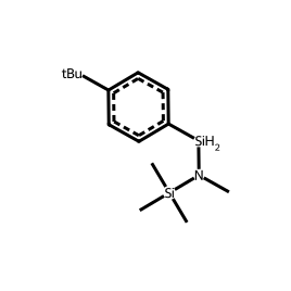 CN([SiH2]c1ccc(C(C)(C)C)cc1)[Si](C)(C)C